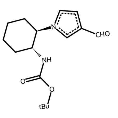 CC(C)(C)OC(=O)N[C@@H]1CCCC[C@H]1n1ccc(C=O)c1